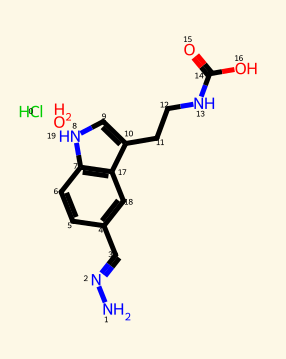 Cl.NN=Cc1ccc2[nH]cc(CCNC(=O)O)c2c1.O